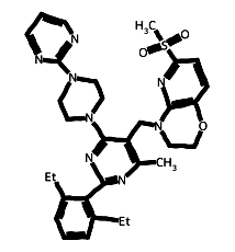 CCc1cccc(CC)c1-c1nc(C)c(CN2CCOc3ccc(S(C)(=O)=O)nc32)c(N2CCN(c3ncccn3)CC2)n1